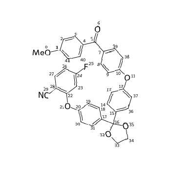 COc1ccc(C(=O)c2ccc(Oc3ccc(C4(c5ccc(Oc6cc(F)ccc6C#N)cc5)OCCO4)cc3)cc2)cc1